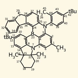 Cc1cc2c3c(c1)N1c4c(cc(C(C)(C)C)cc4C4(C)CCCCC14C)B3c1c(ccc3sc4ccccc4c13)N2c1ccc(C(C)(C)C)cc1C